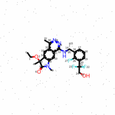 CCOC1(C)C(=O)N(C)c2cc3c(N[C@H](C)c4cccc(C(F)(F)CO)c4F)nnc(C)c3cc21